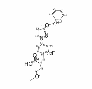 COCCC(Cc1ccc(-n2ccc(OCc3ccccc3)n2)cc1F)C(=O)O